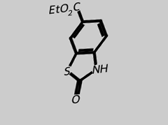 CCOC(=O)c1ccc2[nH]c(=O)sc2c1